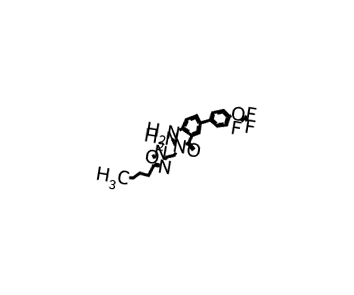 CCCCc1nc(CN(N)C(=O)c2cc(-c3ccc(OC(F)(F)F)cc3)ccc2N)no1